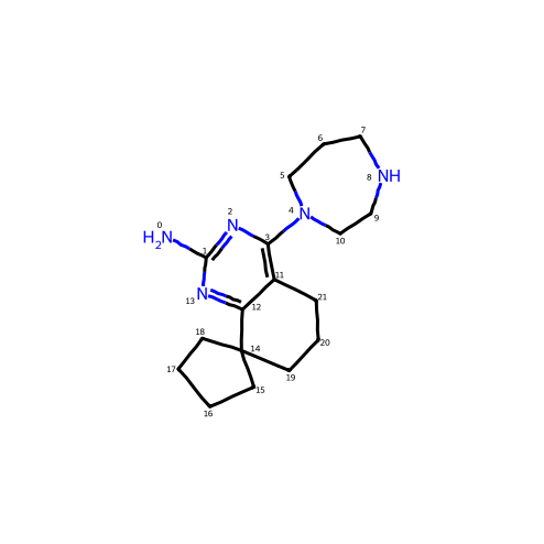 Nc1nc(N2CCCNCC2)c2c(n1)C1(CCCC1)CCC2